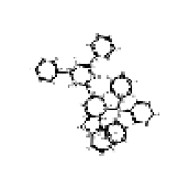 C1=CC([Si](c2ccccc2)(c2ccccc2)c2cc(-c3nc(-c4ccccc4)nc(-c4ccccc4)n3)cc3oc4ccccc4c23)=CCC1